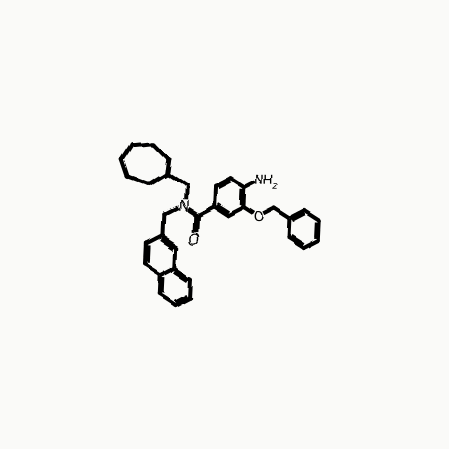 Nc1ccc(C(=O)N(Cc2ccc3ccccc3c2)CC2CCCCCC2)cc1OCc1ccccc1